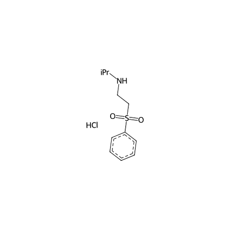 CC(C)NCCS(=O)(=O)c1ccccc1.Cl